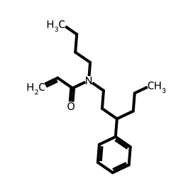 C=CC(=O)N(CCCC)CCC(CCC)c1ccccc1